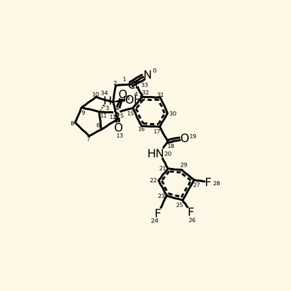 N#CC[C@]1(O)CC2CCC(C1)[C@H]2S(=O)(=O)c1cc(C(=O)Nc2cc(F)c(F)c(F)c2)ccc1Cl